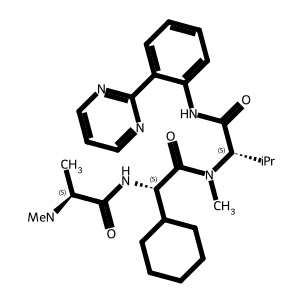 CN[C@@H](C)C(=O)N[C@H](C(=O)N(C)[C@H](C(=O)Nc1ccccc1-c1ncccn1)C(C)C)C1CCCCC1